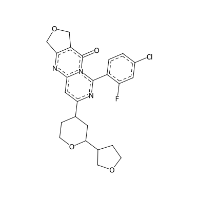 O=c1c2c(nc3cc(C4CCOC(C5CCOC5)C4)nc(-c4ccc(Cl)cc4F)n13)COC2